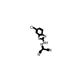 N#CC(C#N)=NNc1nc2ccc(Cl)cc2s1